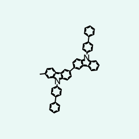 Cc1ccc2c3cc(-c4ccc5c(c4)c4ccccc4n5-c4ccc(-c5ccccc5)cc4)ccc3n(-c3ccc(-c4ccccc4)cc3)c2c1